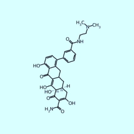 CN(C)CCNC(=O)c1cccc(-c2ccc(O)c3c2CC2C[C@H]4CC(O)=C(C(N)=O)C(=O)[C@@]4(O)C(O)=C2C3=O)c1